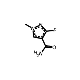 Cn1cc(C(N)=O)c(F)n1